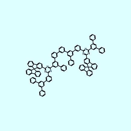 c1ccc(-c2cc(-c3cccc(-c4cccc(-c5cc(-c6ccccc6)cc(-c6nc(-c7cccc(-c8cc(-c9ccccc9)cc(-c9ccccc9)c8)c7)nc(-c7ccc8c(c7)C7(c9ccccc9-c9ccccc97)c7ccccc7-8)n6)c5)c4)c3)cc(-c3cccc(-c4nc(-c5cc(-c6ccccc6)cc(-c6ccccc6)c5)nc(-c5ccc6c(c5)-c5ccccc5C65c6ccccc6-c6ccccc65)n4)c3)c2)cc1